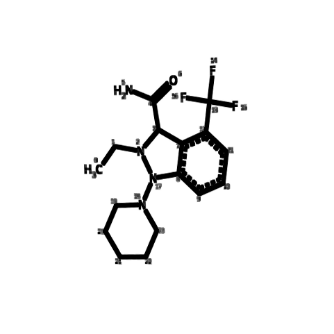 CCN1C(C(N)=O)c2c(cccc2C(F)(F)F)N1N1CCCCC1